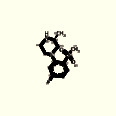 C[C@@H]1CN(c2cc(F)ccc2S(C)(=O)=O)CCN1